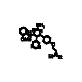 CCN(CC)CCOc1ccc(-c2nc(N)nc(Nc3ccccc3OC)c2-c2cncnc2)cc1